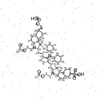 CC(=O)OCCN1/C(=C/C=C2\CCC(/C=C/C3N(CCOC(C)=O)c4ccc5cc(SOOO)ccc5c4C3(C)C)=C2N(c2ccccc2)c2ccccc2)C(C)(C)c2c1ccc1cc(S(=O)(=O)O)ccc21